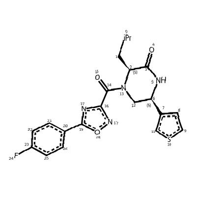 CC(C)C[C@H]1C(=O)N[C@@H](c2ccsc2)CN1C(=O)c1noc(-c2ccc(F)cc2)n1